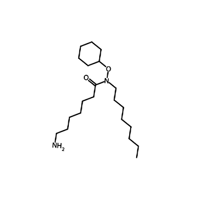 CCCCCCCCN(OC1CCCCC1)C(=O)CCCCCCN